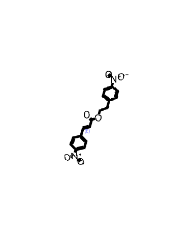 O=C(/C=C/c1ccc([N+](=O)[O-])cc1)OCCc1ccc([N+](=O)[O-])cc1